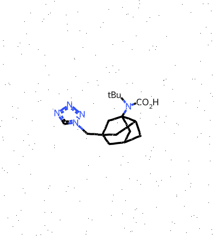 CC(C)(C)N(C(=O)O)C12CC3CC1CC(Cn1cnnn1)(C3)C2